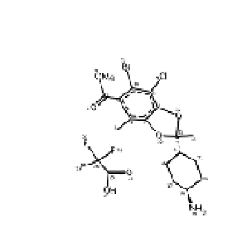 COC(=O)c1c(C)c2c(c(Cl)c1Br)OC(C)([C@H]1CC[C@H](N)CC1)O2.O=C(O)C(F)(F)F